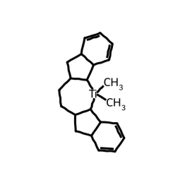 [CH3][Ti]1([CH3])[CH]2C(CCC3CC4C=CC=CC4[CH]31)CC1C=CC=CC12